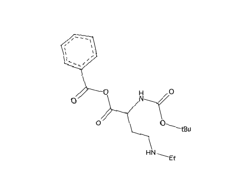 CCNCCC(NC(=O)OC(C)(C)C)C(=O)OC(=O)c1ccccc1